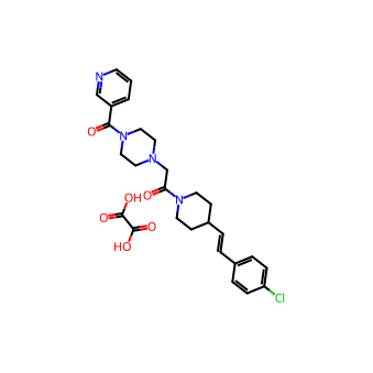 O=C(CN1CCN(C(=O)c2cccnc2)CC1)N1CCC(C=Cc2ccc(Cl)cc2)CC1.O=C(O)C(=O)O